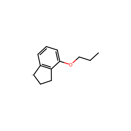 CCCOc1cccc2c1CC[C]2